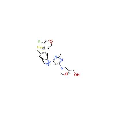 Cc1nc(N2CCO[C@H](CO)C2)cc(-n2ncc3cc(C)c([C@@]4(S)CCOCC4F)cc32)n1